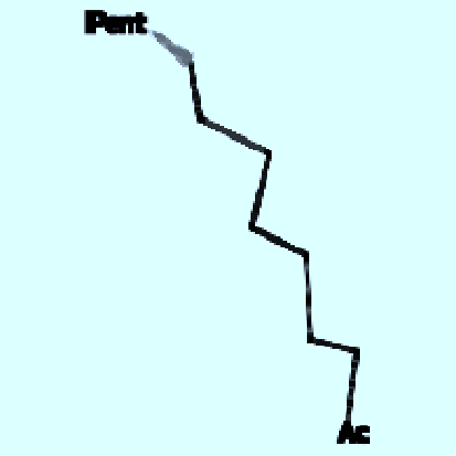 CCC[C@@H](C)CCCCCCCC(C)=O